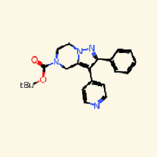 CC(C)(C)OC(=O)N1CCn2nc(-c3ccccc3)c(-c3ccncc3)c2C1